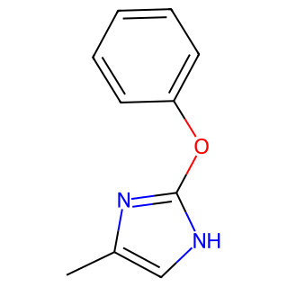 Cc1c[nH]c(Oc2ccccc2)n1